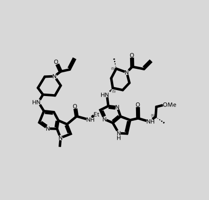 C=CC(=O)N1CCC(Nc2cnc3c(c2)c(C(=O)NCC)cn3C)CC1.C=CC(=O)N1CC[C@H](Nc2cnc3[nH]cc(C(=O)N[C@@H](C)COC)c3n2)C[C@@H]1C